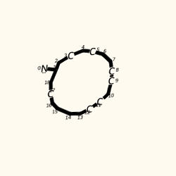 [N]C1CCCCCCCCCCCCCCCCC1